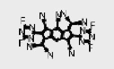 N#CC(C#N)=C1C(c2nc(F)nc(F)n2)=C(C#N)c2c1cc1c(c2C#N)C(=C(C#N)C#N)C(c2nc(F)nc(F)n2)=C1C#N